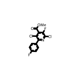 COC(=O)c1c(F)c(Cl)nc(-c2ccc(F)cc2)c1Cl